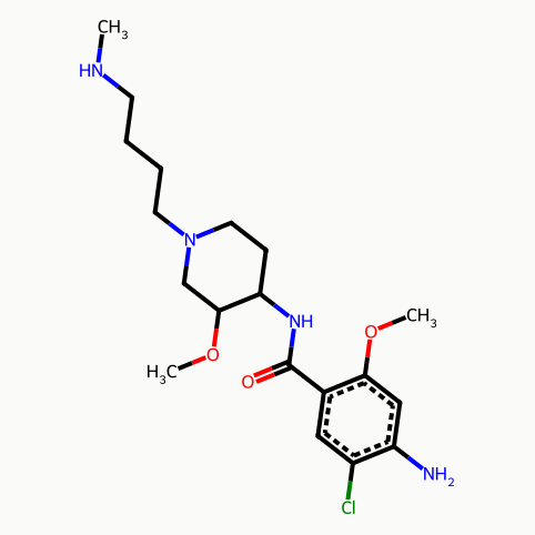 CNCCCCN1CCC(NC(=O)c2cc(Cl)c(N)cc2OC)C(OC)C1